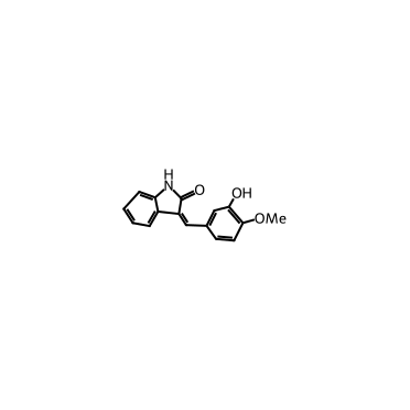 COc1ccc(C=C2C(=O)Nc3ccccc32)cc1O